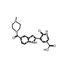 CN1CCN(C(=O)c2ccc3[nH]c(-c4cc(C(=O)O)c[nH]c4=O)cc3c2)CC1